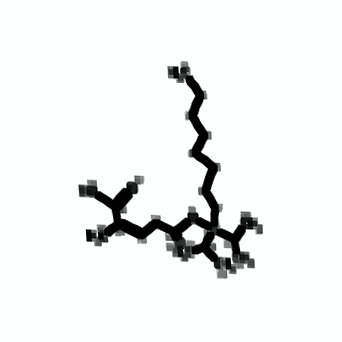 CCCCCCCC[Si](OC(=O)CC=C(C)C(=O)O)(C(C)C)C(C)C